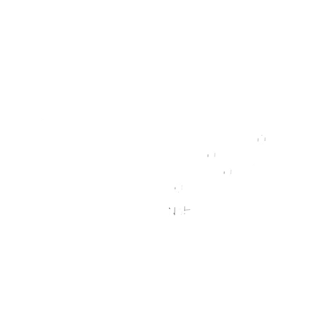 CCCCCCCCC(=O)OOC(=O)c1ccccc1.[NaH]